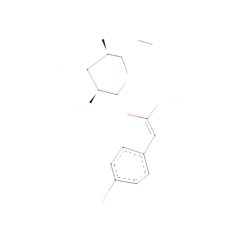 CCOC(=O)/C(=C/c1ccc(Cl)cc1)O[C@H]1O[C@@H](COC(C)=O)[C@H](OC(C)=O)[C@@H](OC(C)=O)[C@@H]1OC(C)=O